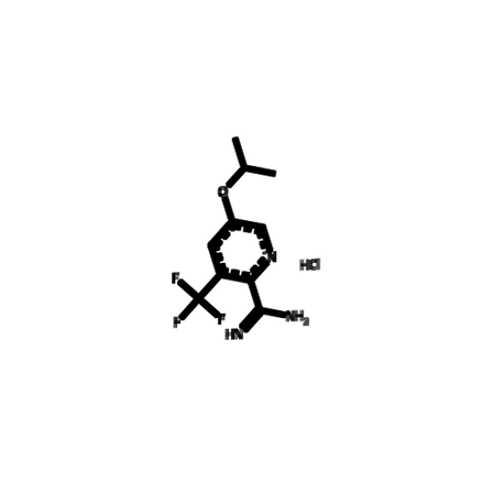 CC(C)Oc1cnc(C(=N)N)c(C(F)(F)F)c1.Cl